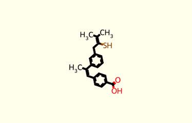 CC(=Cc1ccc(C(=O)O)cc1)c1cccc(CC(S)=C(C)C)c1